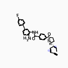 C#C/C=C\C(=C/C)[C@H]1CCS(=O)(c2ccc(C(=O)Nc3cc(-c4ccc(F)cc4)ccc3N)cc2)=N1